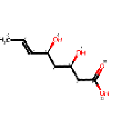 C/C=C/[C@@H](O)C[C@@H](O)CC(=O)O